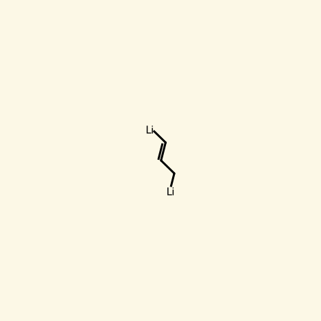 [Li][CH]=C[CH2][Li]